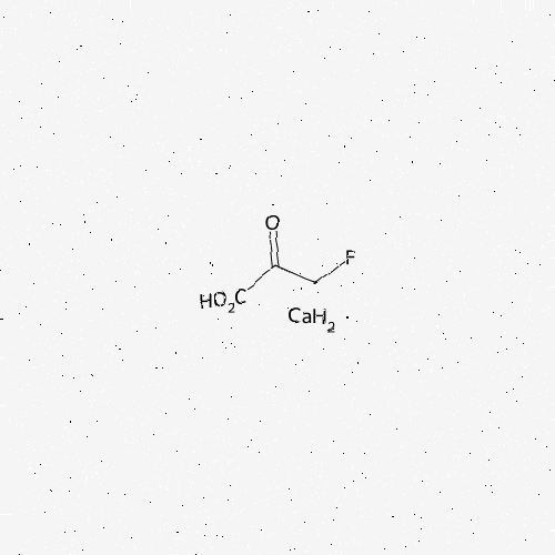 O=C(O)C(=O)CF.[CaH2]